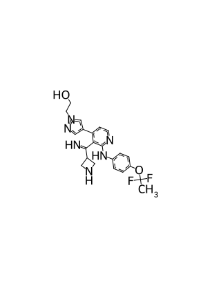 CC(F)(F)Oc1ccc(Nc2nccc(-c3cnn(CCO)c3)c2C(=N)C2CNC2)cc1